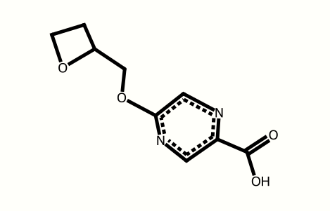 O=C(O)c1cnc(OCC2CCO2)cn1